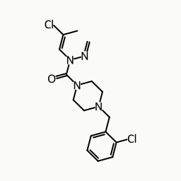 C=NN(/C=C(\C)Cl)C(=O)N1CCN(Cc2ccccc2Cl)CC1